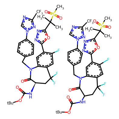 CC(C)(C)OC(=O)NC1CC(F)(F)c2cc(F)c(-c3nnc(C(C)(C)S(C)(=O)=O)o3)cc2N(Cc2ccc(-n3cnc(C(F)(F)F)n3)cc2)C1=O.CC(C)(C)OC(=O)N[C@@H]1CC(F)(F)c2cc(F)c(-c3nnc(C(C)(C)S(C)(=O)=O)o3)cc2N(Cc2ccc(-n3cnc(C(F)(F)F)n3)cc2)C1=O